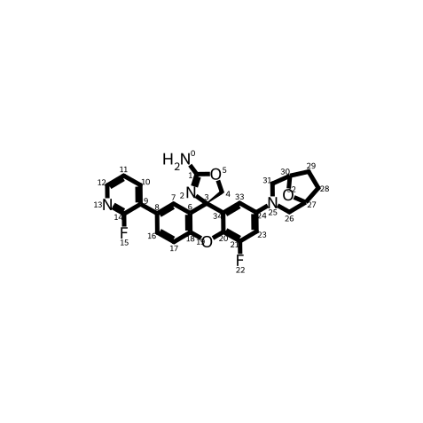 NC1=N[C@@]2(CO1)c1cc(-c3cccnc3F)ccc1Oc1c(F)cc(N3CC4CCC(C3)O4)cc12